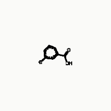 [B]c1cccc(C(=O)O)c1